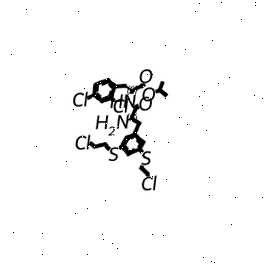 CC(C)OC(=O)[C@H](Cc1ccc(Cl)cc1Cl)NC(=O)[C@@H](N)Cc1cc(SCCCl)cc(SCCCl)c1